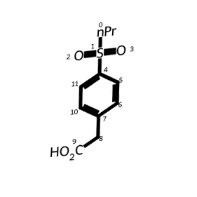 CCCS(=O)(=O)c1ccc(CC(=O)O)cc1